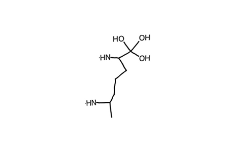 CC([NH])CCCC([NH])C(O)(O)O